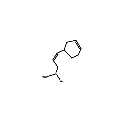 CC(=O)N(C/C=C\C1CC=CCC1)C(C)(C)C